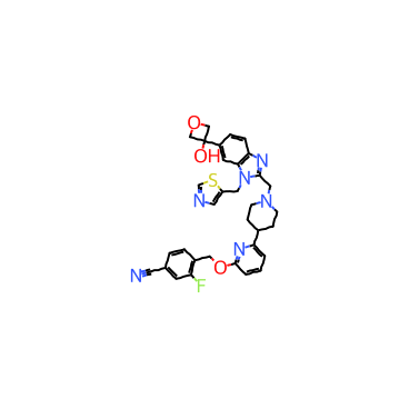 N#Cc1ccc(COc2cccc(C3CCN(Cc4nc5ccc(C6(O)COC6)cc5n4Cc4cncs4)CC3)n2)c(F)c1